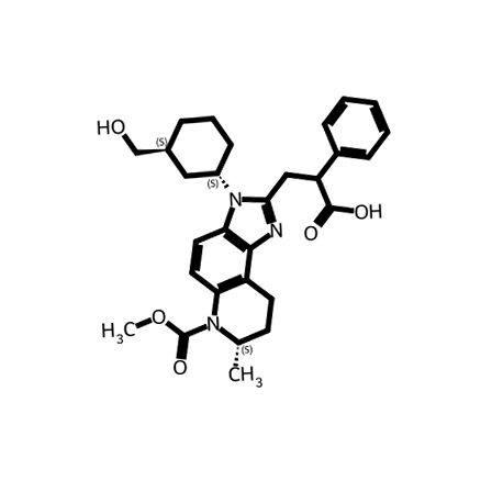 COC(=O)N1c2ccc3c(nc(CC(C(=O)O)c4ccccc4)n3[C@H]3CCC[C@H](CO)C3)c2CC[C@@H]1C